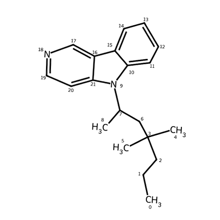 CCCC(C)(C)CC(C)n1c2ccccc2c2cnccc21